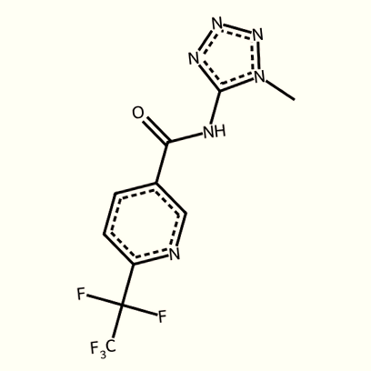 Cn1nnnc1NC(=O)c1ccc(C(F)(F)C(F)(F)F)nc1